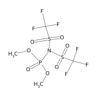 COP(=O)(OC)N(S(=O)(=O)C(F)(F)F)S(=O)(=O)C(F)(F)F